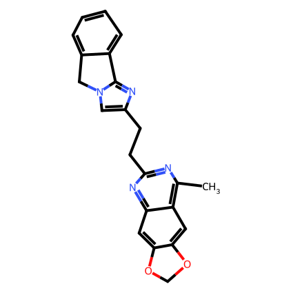 Cc1nc(CCc2cn3c(n2)-c2ccccc2C3)nc2cc3c(cc12)OCO3